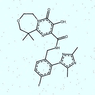 Cc1nc(C)n(-c2cc(F)ccc2CNC(=O)c2nc3n(c(=O)c2O)CCOCC3(C)C)n1